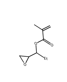 C=C(C)C(=O)OC(CC)C1CO1